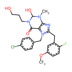 CN1c2nc(Cc3cc(OC(F)(F)F)ccc3F)n(Cc3ccc(Cl)cc3)c2C(=O)N(CCCO)C1O